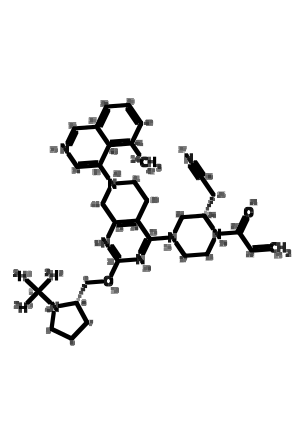 [2H]C([2H])([2H])N1CCC[C@H]1COc1nc2c(c(N3CCN(C(=O)C=C)[C@@H](CC#N)C3)n1)CCN(c1cncc3cccc([14CH3])c13)C2